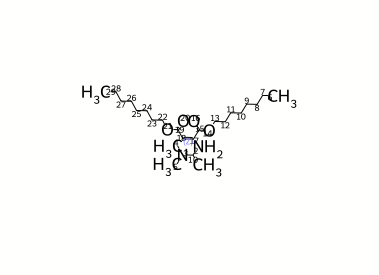 CC(N)N(C)C.CCCCCCCCOC(=O)/C=C\C(=O)OCCCCCCCC